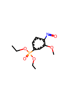 CCOP(=O)(OCC)c1ccc(N=O)c(OC)c1